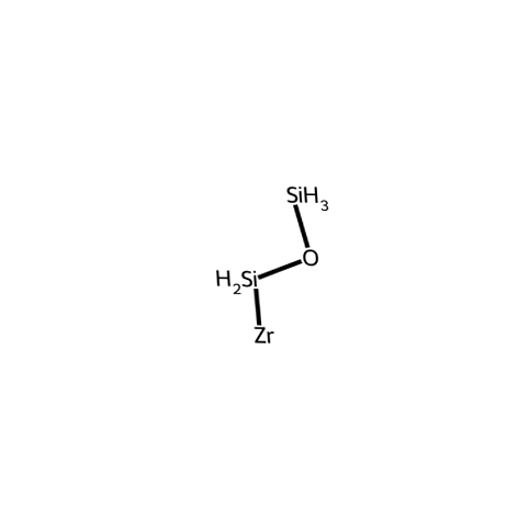 [SiH3]O[SiH2][Zr]